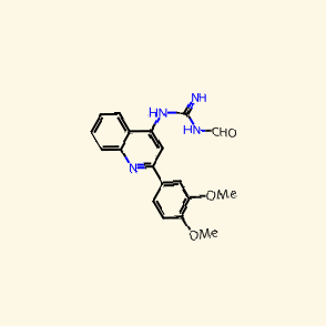 COc1ccc(-c2cc(NC(=N)NC=O)c3ccccc3n2)cc1OC